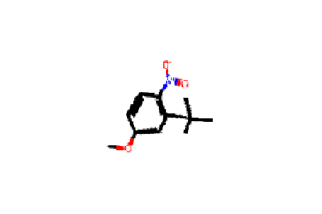 COc1ccc([N+](=O)[O-])c(C(C)(C)C)c1